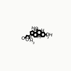 C[C@]12CC[C@H](O)C[C@H]1C[C@H](O)[C@@H]1[C@@H]2CC[C@]2(C)[C@@H](C3COC(=O)C3)CC[C@]12O